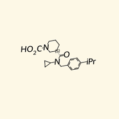 CC(C)c1ccc(CN(C(=O)[C@H]2CCCN(C(=O)O)C2)C2CC2)cc1